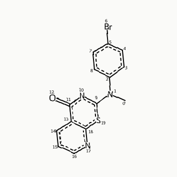 CN(c1ccc(Br)cc1)c1nc(=O)c2cccnc2s1